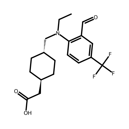 CCN(C[C@H]1CC[C@H](CC(=O)O)CC1)c1ccc(C(F)(F)F)cc1C=O